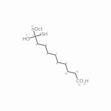 CCCCCCCCC(O)(S)CCCCCCCCC(=O)O